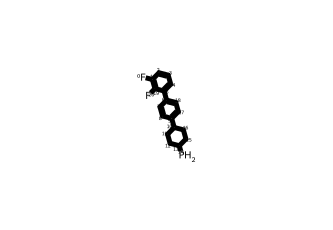 Fc1cccc(-c2ccc(C3CCC(P)CC3)cc2)c1F